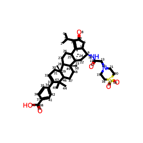 CC(C)C1=C2C(CC1=O)[C@@H](NC(=O)CN1CCS(=O)(=O)CC1)C[C@]1(C)C2CCC2[C@@]3(C)CC=C(c4ccc(C(=O)O)cc4)C(C)(C)C3CC[C@]21C